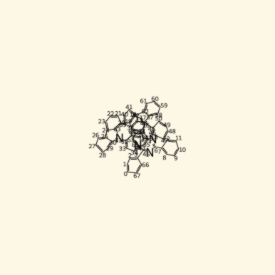 c1ccc(-c2nc(-c3ccccc3)nc(-c3cccc(-c4cccc5c6ccccc6n(-c6ccccc6-c6cccc7c6C(c6ccccc6)(c6ccccc6)c6ccccc6-7)c45)c3)n2)cc1